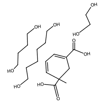 CC1(C(=O)O)C=CC=C(C(=O)O)C1.OCCCCCCO.OCCCCO.OCCO